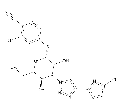 N#Cc1ncc(S[C@H]2OC(CO)[C@H](O)C(n3cc(-c4nc(Cl)cs4)nn3)C2O)cc1Cl